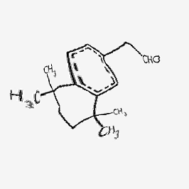 CC1(C)CCC(C)(C)c2cc(CC=O)ccc21